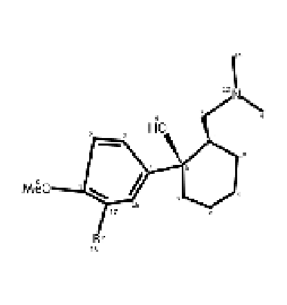 COc1ccc([C@@]2(O)CCCC[C@@H]2CN(C)C)cc1Br